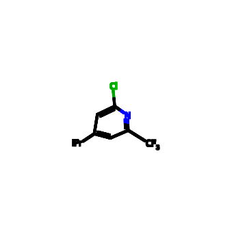 CC(C)c1cc(Cl)nc(C(F)(F)F)c1